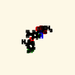 CC1(COc2cc(F)c(C(=O)NS(C)(=O)=O)cc2C2CC2)CCC(F)(F)CC1